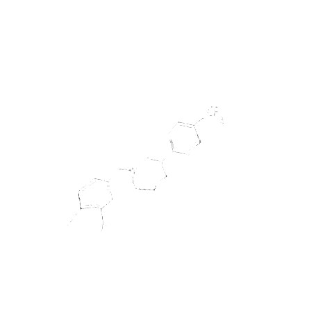 Cc1ccc(CN2CCCC(c3ccc(C(F)(F)F)cc3)C2)cc1F